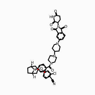 N#Cc1ccc(O[C@H]2C[C@H]3CC[C@@H](C2)N3c2ccc(C(=O)N3CCN(C4CCN(c5ccc6c(c5)C(=O)N(C5CCC(=O)NC5=O)C6=O)CC4)CC3)cc2)cc1Cl